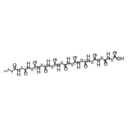 CCCC(=O)NCC(=O)NCC(=O)NCC(=O)NCC(=O)NCC(=O)NCC(=O)NCC(=O)NCC(=O)NCC(=O)NCC(=O)O